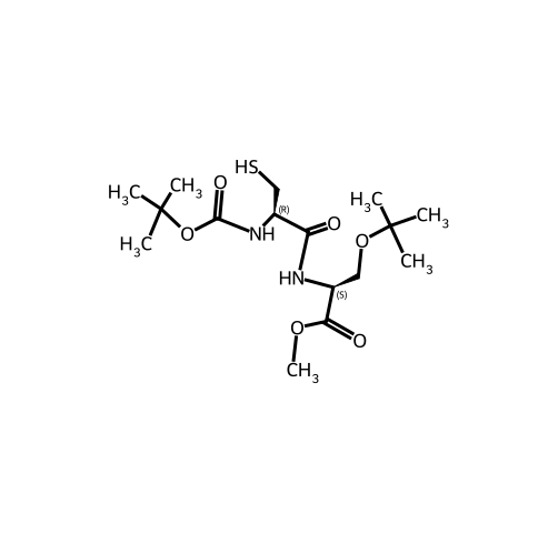 COC(=O)[C@H](COC(C)(C)C)NC(=O)[C@H](CS)NC(=O)OC(C)(C)C